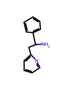 N[C](Cc1ccccn1)c1ccccc1